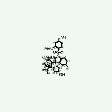 COc1ccc(S(=O)(=O)N2C(=O)C(c3nccnc3OC)(N3C[C@H](O)C[C@H]3C(=O)N(C)C)c3cc(I)ccc32)c(OC)c1